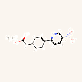 COC(=O)CC1CC=C(c2ccc([N+](=O)[O-])cn2)CC1